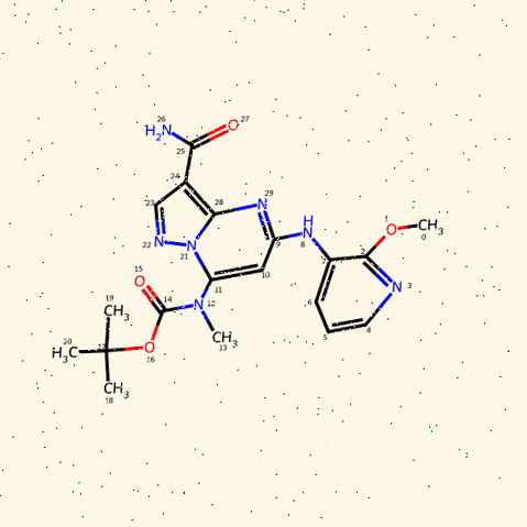 COc1ncccc1Nc1cc(N(C)C(=O)OC(C)(C)C)n2ncc(C(N)=O)c2n1